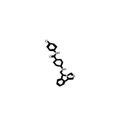 O=C(Nc1ccc(Cl)cc1)C1CCC(NCC2c3ccccc3-c3cncn32)CC1